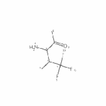 CC(=O)C(N)C(C)C(F)(F)F